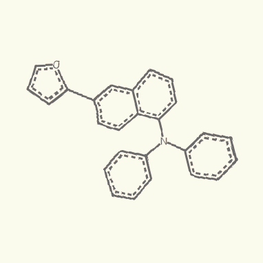 c1ccc(N(c2ccccc2)c2cccc3cc(-c4ccco4)ccc23)cc1